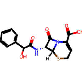 O=C(O)C1=CCS[C@@H]2[C@H](NC(=O)C(O)c3ccccc3)C(=O)N12